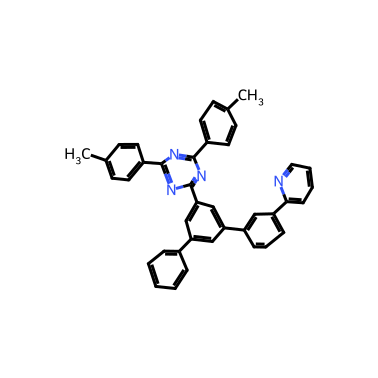 Cc1ccc(-c2nc(-c3ccc(C)cc3)nc(-c3cc(-c4ccccc4)cc(-c4cccc(-c5ccccn5)c4)c3)n2)cc1